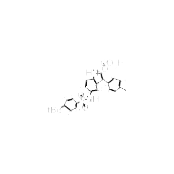 Cc1ccc(-c2c(OC(=O)O)[nH]c3ccc(NS(=O)(=O)c4ccc(C(C)(C)C)cc4)cc23)cc1